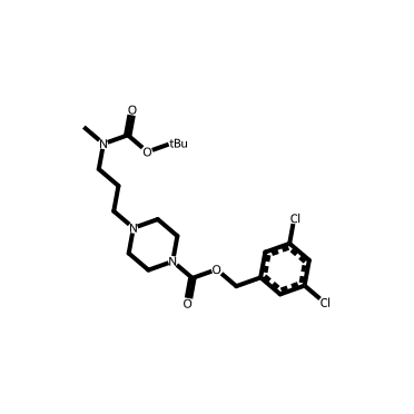 CN(CCCN1CCN(C(=O)OCc2cc(Cl)cc(Cl)c2)CC1)C(=O)OC(C)(C)C